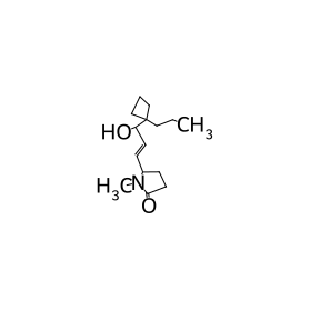 CCCC1(C(O)/C=C/C2CCC(=O)N2C)CCC1